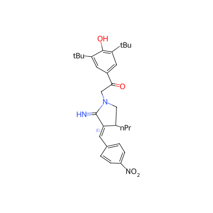 CCCC1CN(CC(=O)c2cc(C(C)(C)C)c(O)c(C(C)(C)C)c2)C(=N)/C1=C/c1ccc([N+](=O)[O-])cc1